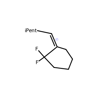 CCCC(C)/C=C1/CCCCC1(F)F